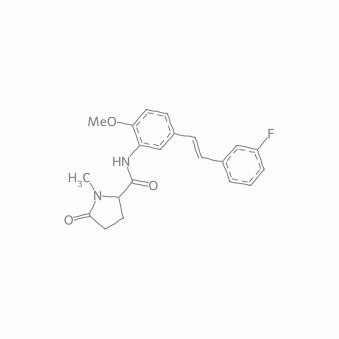 COc1ccc(C=Cc2cccc(F)c2)cc1NC(=O)C1CCC(=O)N1C